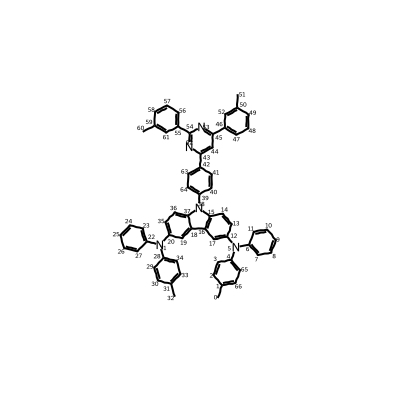 Cc1ccc(N(c2ccccc2)c2ccc3c(c2)c2cc(N(c4ccccc4)c4ccc(C)cc4)ccc2n3-c2ccc(-c3cc(-c4cccc(C)c4)nc(-c4cccc(C)c4)n3)cc2)cc1